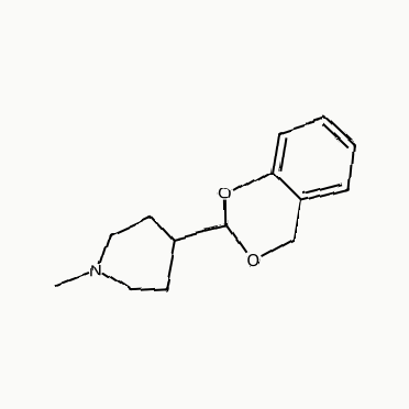 CN1CCC(C2OCc3ccccc3O2)CC1